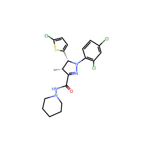 C[C@H]1C(C(=O)NN2CCCCC2)=NN(c2ccc(Cl)cc2Cl)[C@H]1c1ccc(Cl)s1